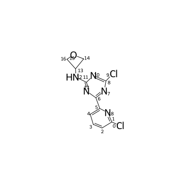 Clc1cccc(-c2nc(Cl)nc(NC3COC3)n2)n1